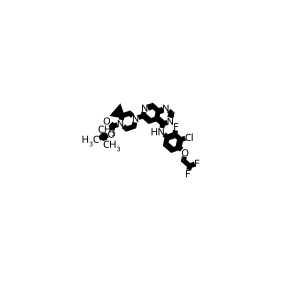 CC(C)(C)OC(=O)N1CCN(c2cc3c(Nc4ccc(OCC(F)F)c(Cl)c4F)ncnc3cn2)CC12CC2